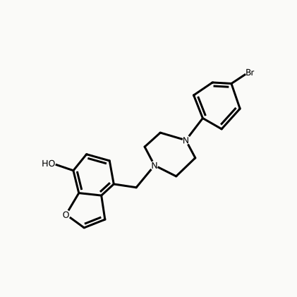 Oc1ccc(CN2CCN(c3ccc(Br)cc3)CC2)c2ccoc12